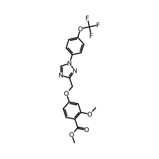 COC(=O)c1ccc(OCc2ncn(-c3ccc(OC(F)(F)F)cc3)n2)cc1OC